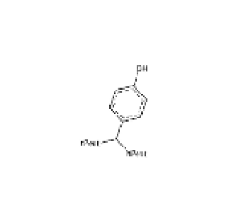 CCCCCC(CCCCC)c1ccc(O)cc1